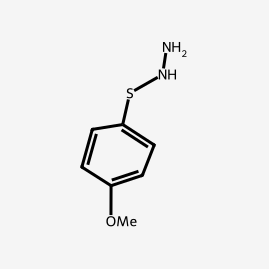 COc1ccc(SNN)cc1